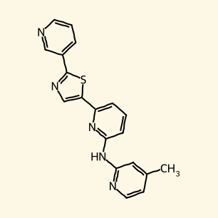 Cc1ccnc(Nc2cccc(-c3cnc(-c4cccnc4)s3)n2)c1